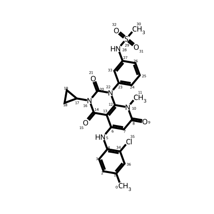 Cc1ccc(Nc2cc(=O)n(C)c3c2c(=O)n(C2CC2)c(=O)n3-c2cccc(NS(C)(=O)=O)c2)c(Cl)c1